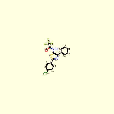 O=C(Nc1sc(-c2ccc(Cl)cc2)nc1-c1ccccc1)C(F)(F)F